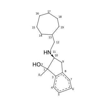 CC1(O)c2ccccc2C[C@@H]1NCC1CCCCCC1